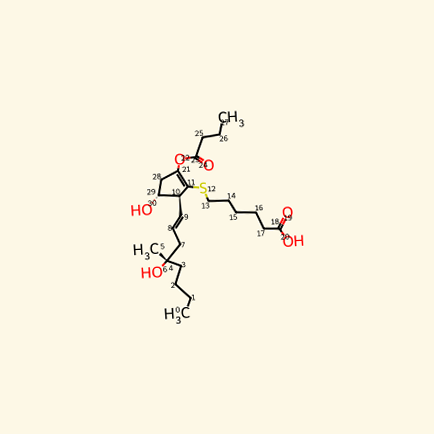 CCCC[C@](C)(O)C/C=C/[C@@H]1C(SCCCCCC(=O)O)=C(OC(=O)CCC)C[C@H]1O